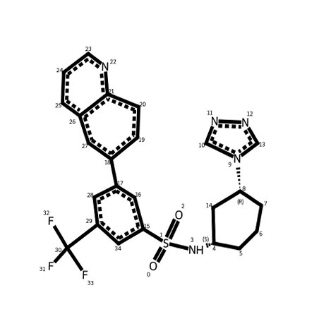 O=S(=O)(N[C@H]1CCC[C@@H](n2cnnc2)C1)c1cc(-c2ccc3ncccc3c2)cc(C(F)(F)F)c1